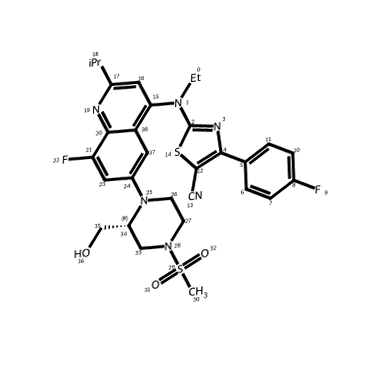 CCN(c1nc(-c2ccc(F)cc2)c(C#N)s1)c1cc(C(C)C)nc2c(F)cc(N3CCN(S(C)(=O)=O)C[C@@H]3CO)cc12